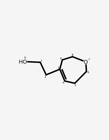 OCCC1=CCCOCC1